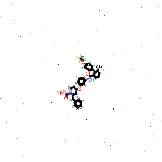 Cc1cccc(C(=O)Nc2cccc(OC3CCN(C(=O)O)C(Cc4ccccc4)C3)c2)c1-c1ccc(OC(F)(F)F)cc1